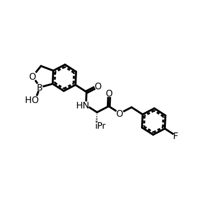 CC(C)[C@H](NC(=O)c1ccc2c(c1)B(O)OC2)C(=O)OCc1ccc(F)cc1